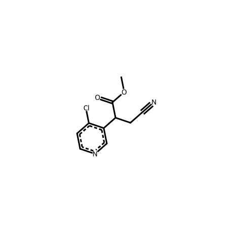 COC(=O)C(CC#N)c1cnccc1Cl